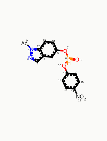 CC(=O)n1ncc2cc(O[PH](=O)Oc3ccc([N+](=O)[O-])cc3)ccc21